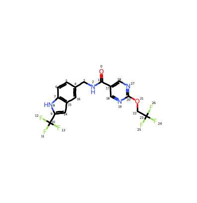 O=C(NCc1ccc2[nH]c(C(F)(F)F)cc2c1)c1cnc(OCC(F)(F)F)nc1